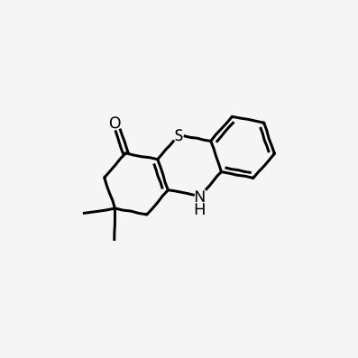 CC1(C)CC(=O)C2=C(C1)Nc1ccccc1S2